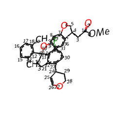 COC(=O)CC1COc2cc(O[C@@]3(c4c(C)cccc4C)CCc4c(C5C=COCC5)ccc(F)c43)ccc21